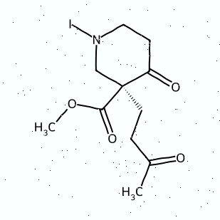 COC(=O)[C@@]1(CCC(C)=O)CN(I)CCC1=O